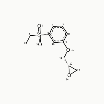 CCS(=O)(=O)c1cccc(OC[C@@H]2CO2)c1